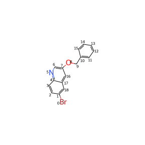 Brc1ccc2ncc(OCc3ccccc3)cc2c1